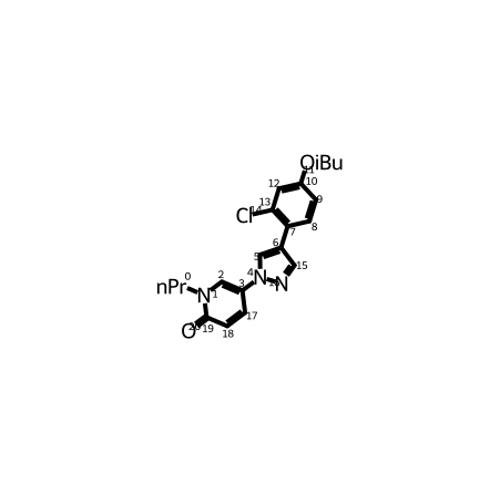 CCCn1cc(-n2cc(-c3ccc(OCC(C)C)cc3Cl)cn2)ccc1=O